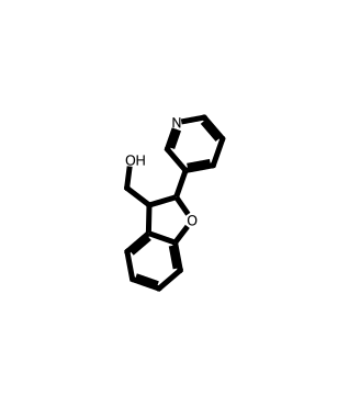 OCC1c2ccccc2OC1c1cccnc1